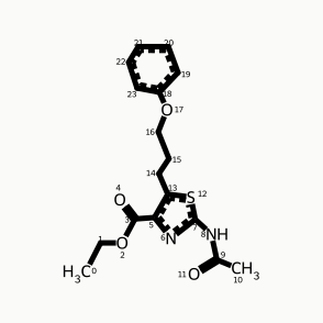 CCOC(=O)c1nc(NC(C)=O)sc1CCCOc1ccccc1